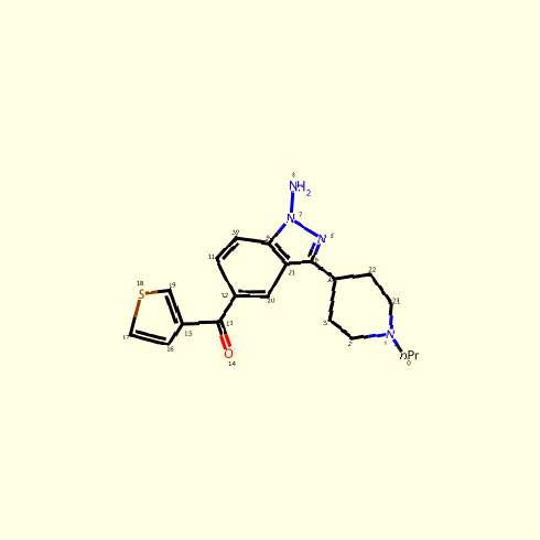 CCCN1CCC(c2nn(N)c3ccc(C(=O)c4ccsc4)cc23)CC1